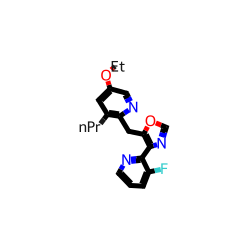 CCCc1cc(OCC)cnc1Cc1ocnc1-c1ncccc1F